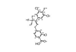 O=C(O)c1ccc(CC=C(c2cc(Cl)c(F)c(Cl)c2)C(F)(F)F)cc1Cl